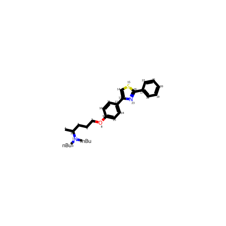 CCCCN(CCCC)C(C)CCCOc1ccc(-c2csc(-c3ccccc3)n2)cc1